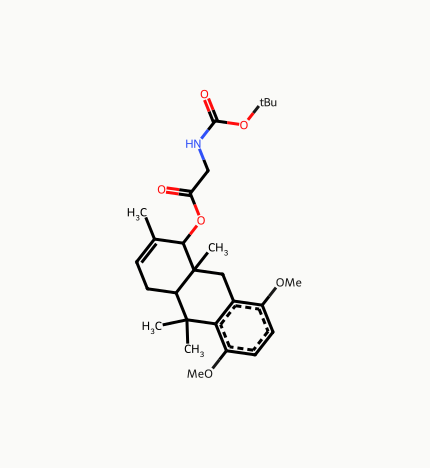 COc1ccc(OC)c2c1CC1(C)C(OC(=O)CNC(=O)OC(C)(C)C)C(C)=CCC1C2(C)C